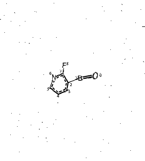 O=Bc1cccnc1F